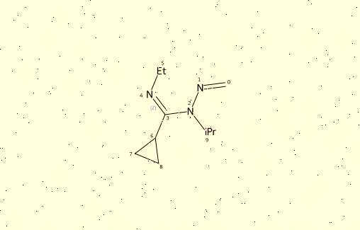 C=NN(/C(=N\CC)C1CC1)C(C)C